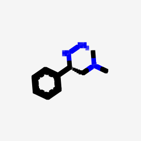 CN(C)C[C@@H](NN)c1ccccc1